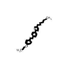 CCCCCCCc1ccc(-c2ccc(CCc3ccc(OCCC)cc3)cc2)nc1